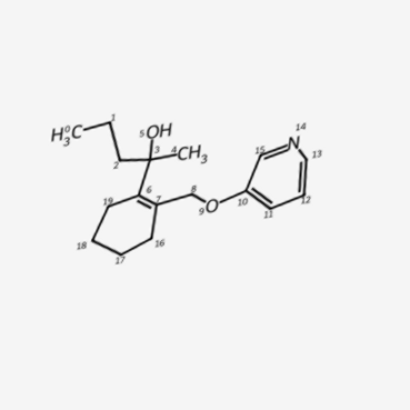 CCCC(C)(O)C1=C(COc2cccnc2)CCCC1